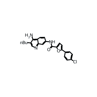 CCCCc1cnc2cc(NC(=O)c3ccc(-c4ccc(Cl)cc4)o3)ccc2c1N